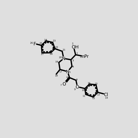 CCCC(O)C1CN(C(=O)COc2ccc(Cl)cc2)C(C)CN1Cc1ccc(F)cc1